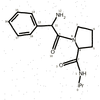 CC(C)NC(=O)C1CCCN1C(=O)C(N)c1ccccc1